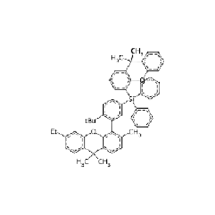 CCc1ccc2c(c1)Oc1c(ccc(C)c1-c1cc([Si](c3ccccc3)(c3ccccc3)c3cccc4c3Oc3ccccc3C4(C)C)ccc1C(C)(C)C)C2(C)C